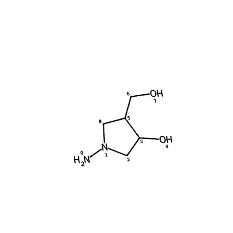 NN1CC(O)C(CO)C1